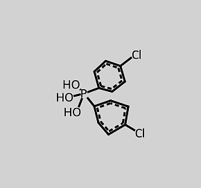 OP(O)(O)(c1ccc(Cl)cc1)c1ccc(Cl)cc1